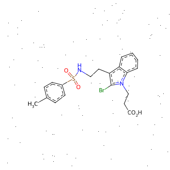 Cc1ccc(S(=O)(=O)NCCc2c(Br)n(CCC(=O)O)c3ccccc23)cc1